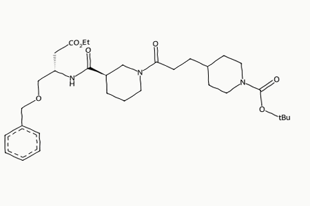 CCOC(=O)C[C@@H](COCc1ccccc1)NC(=O)[C@@H]1CCCN(C(=O)CCC2CCN(C(=O)OC(C)(C)C)CC2)C1